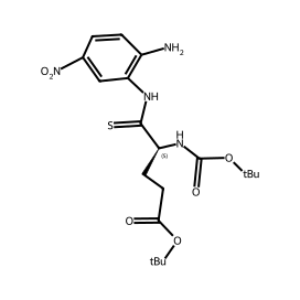 CC(C)(C)OC(=O)CC[C@H](NC(=O)OC(C)(C)C)C(=S)Nc1cc([N+](=O)[O-])ccc1N